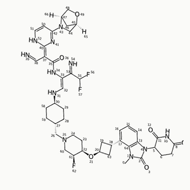 Cn1c(=O)n(C2CCC(=O)NC2=O)c2cccc([C@H]3C[C@H](O[C@@H]4CCN(C[C@H]5CC[C@H](N/C=C(\NC(=O)/C(C=N)=C6\N=C(N7C[C@H]8C[C@@H]7CO8)C=CN6)C(=N)C(F)F)CC5)C[C@@H]4F)C3)c21